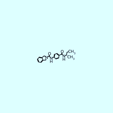 CC[C@H](C)NC(=O)c1ccc(NC(=O)N2Cc3ccccc3C2)cc1